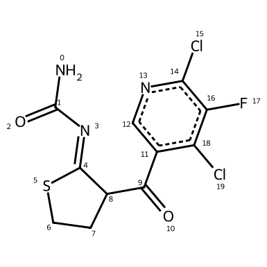 NC(=O)N=C1SCCC1C(=O)c1cnc(Cl)c(F)c1Cl